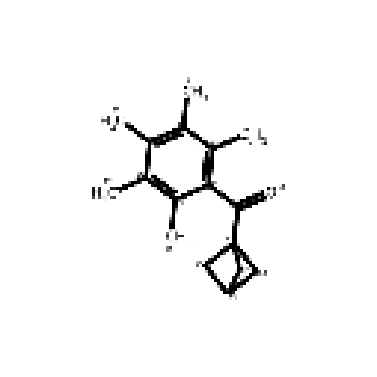 Cc1c(C)c(C)c(C(=O)C23CC(C2)C3)c(C)c1C